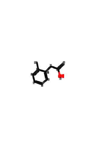 C=C(O)Cc1ccccc1C